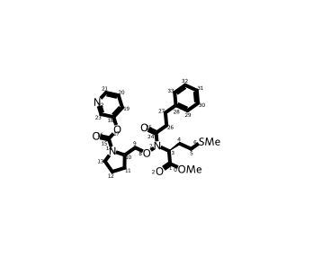 COC(=O)[C@H](CCSC)N(OCC1CCCN1C(=O)Oc1cccnc1)C(=O)CCc1ccccc1